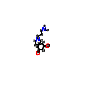 CN(C)CCCN1CCC2(CC(=O)CC(=O)C2)C1